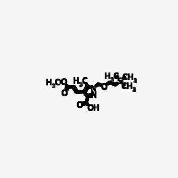 COC(=O)C=Cc1c(C(=O)O)nn(COCC[Si](C)(C)C)c1C